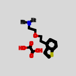 CCN(CC)CCOCCc1cccc2sccc12.O=C(O)C(=O)O